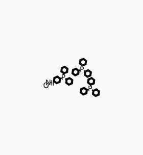 O=[N][Ir].c1ccc(P(c2ccccc2)c2ccccc2)cc1.c1ccc(P(c2ccccc2)c2ccccc2)cc1.c1ccc(P(c2ccccc2)c2ccccc2)cc1